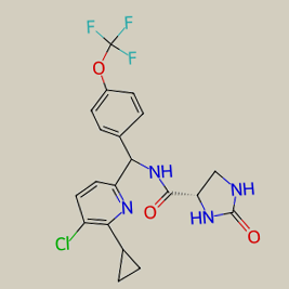 O=C1NC[C@@H](C(=O)NC(c2ccc(OC(F)(F)F)cc2)c2ccc(Cl)c(C3CC3)n2)N1